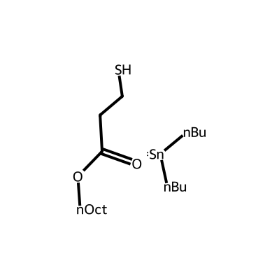 CCCCCCCCOC(=O)CCS.CCC[CH2][Sn][CH2]CCC